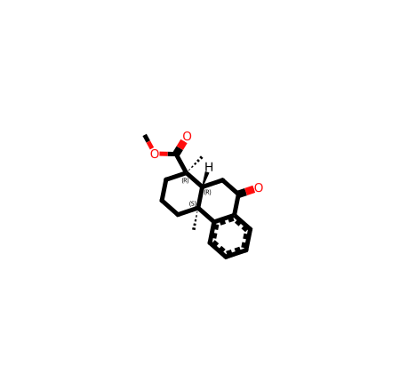 COC(=O)[C@]1(C)CCC[C@]2(C)c3ccccc3C(=O)C[C@@H]12